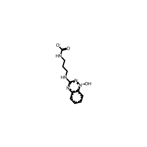 O=C([O-])NCCCNc1nc2ccccc2[n+](O)n1